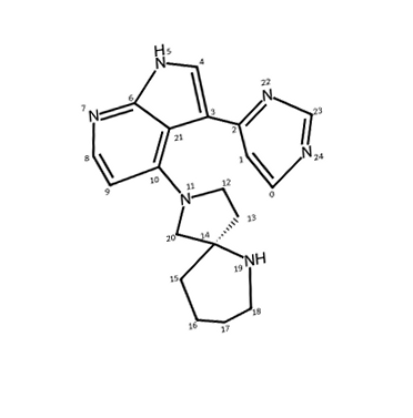 c1cc(-c2c[nH]c3nccc(N4CC[C@]5(CCCCN5)C4)c23)ncn1